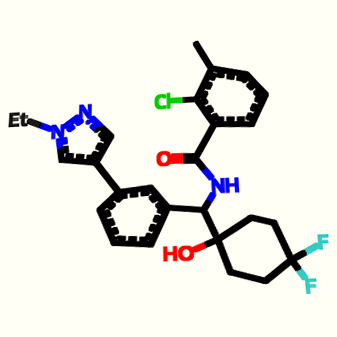 CCn1cc(-c2cccc(C(NC(=O)c3cccc(C)c3Cl)C3(O)CCC(F)(F)CC3)c2)cn1